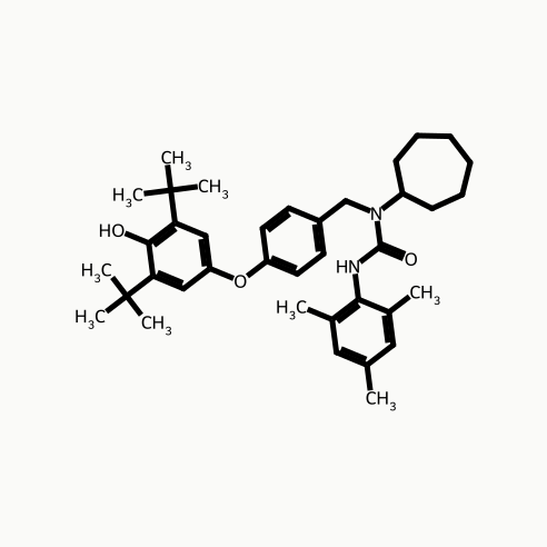 Cc1cc(C)c(NC(=O)N(Cc2ccc(Oc3cc(C(C)(C)C)c(O)c(C(C)(C)C)c3)cc2)C2CCCCCC2)c(C)c1